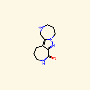 O=C1NCCCc2c1nn1c2CNCCC1